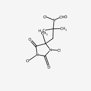 CC(C)(CC1(C)C(=O)N(Cl)C(=O)N1Cl)N(Cl)C=O